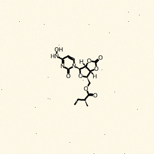 CC[C@H](C)C(=O)OC[C@H]1O[C@@H](n2ccc(NO)nc2=O)[C@@H]2OC(=O)O[C@@H]21